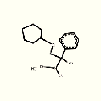 CCCC(COC1CCCCC1)(c1ccccc1)N(CC)CC.Cl